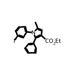 CCOC(=O)c1cc(C)n(-c2cccc(I)c2)c1-c1ccccc1